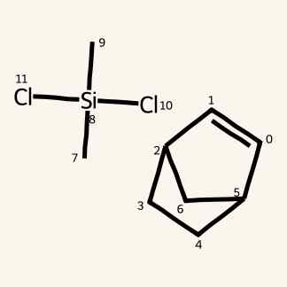 C1=CC2CCC1C2.C[Si](C)(Cl)Cl